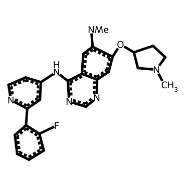 CNc1cc2c(Nc3ccnc(-c4ccccc4F)c3)ncnc2cc1OC1CCN(C)C1